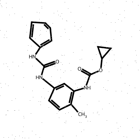 Cc1ccc(NC(=O)Nc2ccccc2)cc1NC(=O)OC1CC1